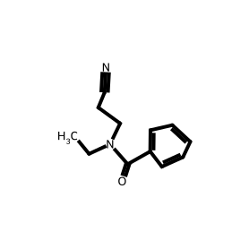 CCN(CCC#N)C(=O)c1ccccc1